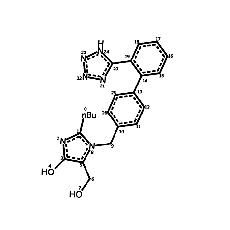 CCCCc1nc(O)c(CO)n1Cc1ccc(-c2ccccc2-c2nnn[nH]2)cc1